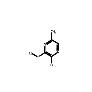 CCOc1nc(C)cnc1C